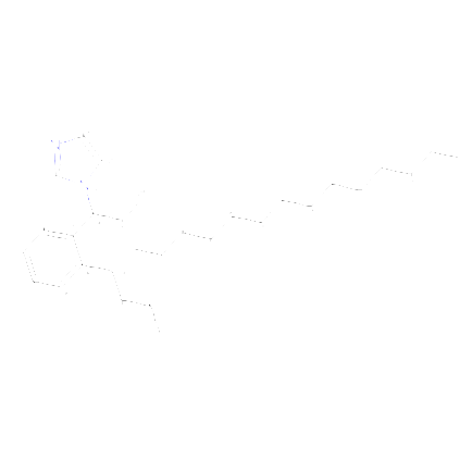 CCCCCCCCCCCCCC[C@H](CCC)c1ccccc1C(CC)n1ccnc1